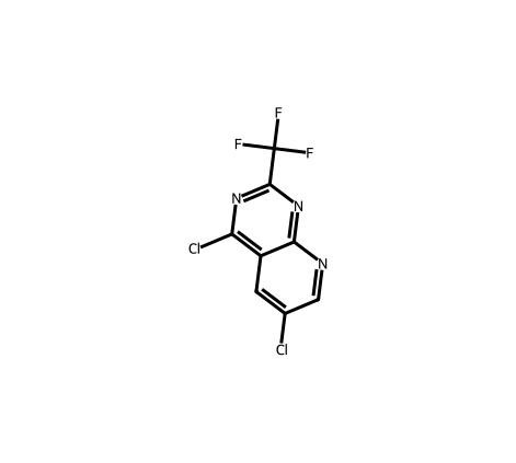 FC(F)(F)c1nc(Cl)c2cc(Cl)cnc2n1